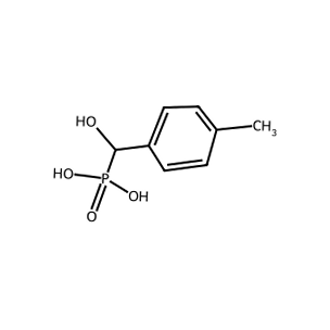 Cc1ccc(C(O)P(=O)(O)O)cc1